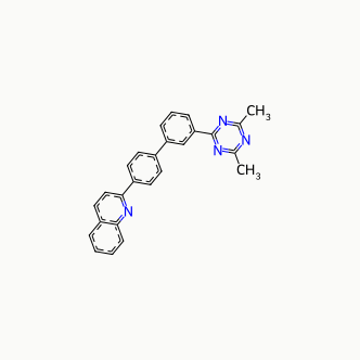 Cc1nc(C)nc(-c2cccc(-c3ccc(-c4ccc5ccccc5n4)cc3)c2)n1